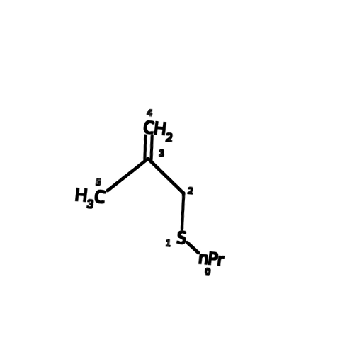 [CH2]CCSCC(=C)C